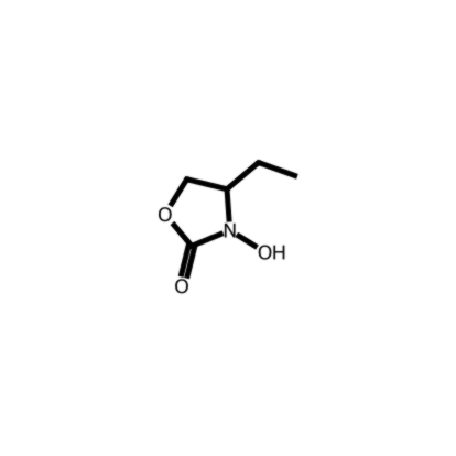 CCC1COC(=O)N1O